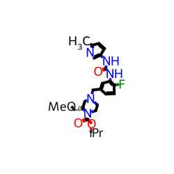 COC[C@@H]1CN(Cc2ccc(F)c(NC(=O)Nc3ccc(C)nc3)c2)CCN1C(=O)OC(C)C